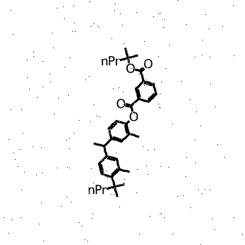 CCCC(C)(C)OC(=O)c1cccc(C(=O)Oc2ccc(C(C)c3ccc(C(C)(C)CCC)c(C)c3)cc2C)c1